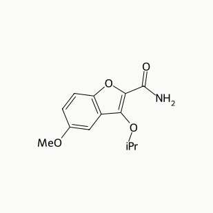 COc1ccc2oc(C(N)=O)c(OC(C)C)c2c1